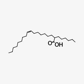 CCCCCCCC/C=C\CCCCCCC(CCCCCC)C(=O)O